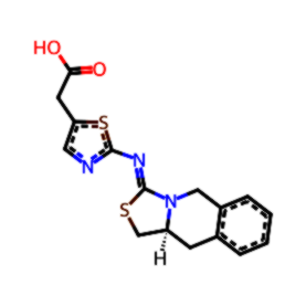 O=C(O)Cc1cnc(N=C2SC[C@@H]3Cc4ccccc4CN23)s1